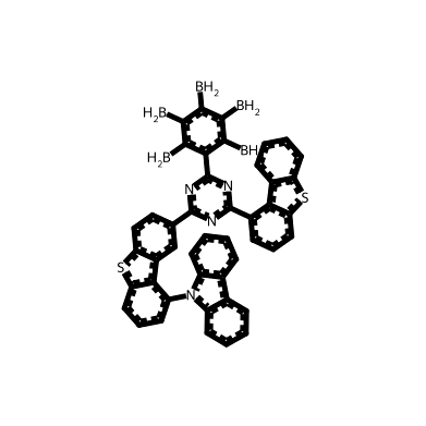 Bc1c(B)c(B)c(-c2nc(-c3ccc4sc5cccc(-n6c7ccccc7c7ccccc76)c5c4c3)nc(-c3cccc4sc5ccccc5c34)n2)c(B)c1B